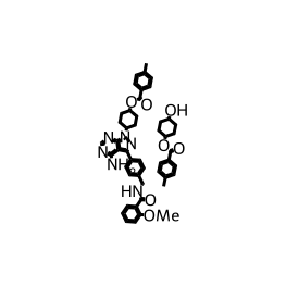 COc1ccccc1C(=O)NCc1ccc(-c2nn(C3CCC(OC(=O)c4ccc(C)cc4)CC3)c3ncnc(N)c23)cc1.Cc1ccc(C(=O)OC2CCC(O)CC2)cc1